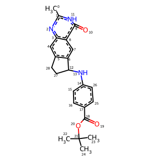 Cc1nc2cc3c(cc2c(=O)[nH]1)C(Nc1ccc(C(=O)OC(C)(C)C)cc1)CC3